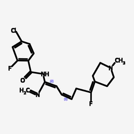 C=N/C(=C\C=C/CC(F)=C1CCN(C)CC1)NC(=O)c1ccc(Cl)cc1F